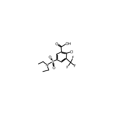 CCN(CC)S(=O)(=O)c1cc(C(=O)O)c(Cl)c(C(F)(F)F)c1